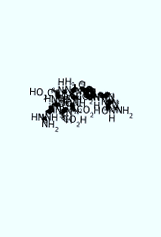 C[C@H](CNC(=O)N[C@@H](CC(=O)O)C(=O)N[C@@H](CCCNC(=N)N)C(=O)N[C@@H](CC(=O)O)C(=O)N[C@@H](CC(=O)O)C(=O)N[C@@H](CS)C(=O)O)NC(=O)c1ccc(NCc2cnc3nc(N)[nH]c(=O)c3n2)cc1